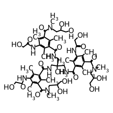 Cc1c(NC(=O)CO)c(C)c(C(=O)N(C)CC(O)CO)c(C)c1C(=O)NCC(C)(CNC(=O)c1c(C)c(NC(=O)CO)c(C)c(C(=O)N(C)CC(O)CO)c1C)CNC(=O)c1c(C)c(NC(=O)CO)c(C)c(C(=O)N(C)CC(O)CO)c1C